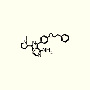 Nc1nccn2c(C3CCCN3)nc(-c3ccc(OCCc4ccccc4)cc3)c12